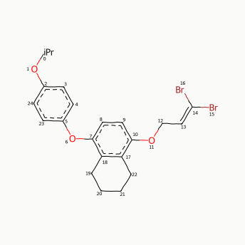 CC(C)Oc1ccc(Oc2ccc(OCC=C(Br)Br)c3c2CCCC3)cc1